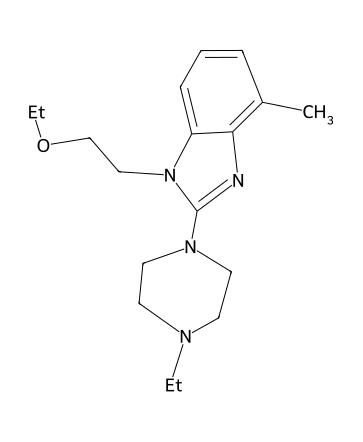 CCOCCn1c(N2CCN(CC)CC2)nc2c(C)cccc21